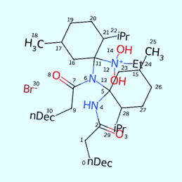 CCCCCCCCCCCC(=O)NC1(N(C(=O)CCCCCCCCCCC)C2([N+](O)(O)CC)CC(C)CCC2C(C)C)CC(C)CCC1C(C)C.[Br-]